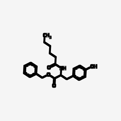 CCCCCC(=O)NC(Cc1ccc(O)cc1)C(=O)OCc1ccccc1